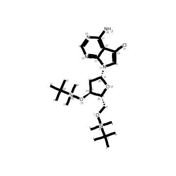 CC(C)(C)[Si](C)(C)OC[C@H]1O[C@@H](n2cc(Cl)c3c(N)ncnc32)C[C@@H]1O[Si](C)(C)C(C)(C)C